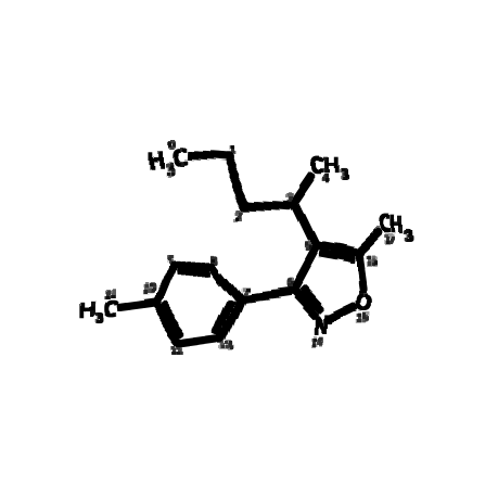 CCCC(C)c1c(-c2ccc(C)cc2)noc1C